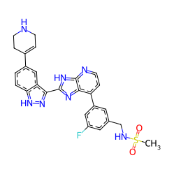 CS(=O)(=O)NCc1cc(F)cc(-c2ccnc3[nH]c(-c4n[nH]c5ccc(C6=CCNCC6)cc45)nc23)c1